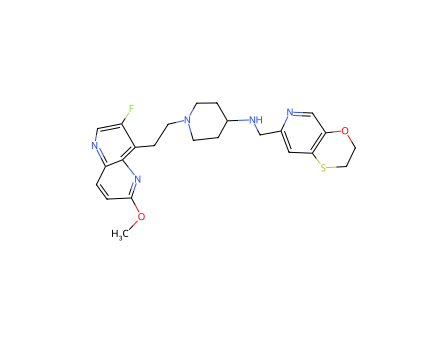 COc1ccc2ncc(F)c(CCN3CCC(NCc4cc5c(cn4)OCCS5)CC3)c2n1